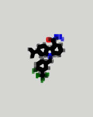 CC(C)c1c[c]c2c3c(C(N)=O)cccc3n(Cc3ccc(F)c(C(F)(F)F)c3)c2c1